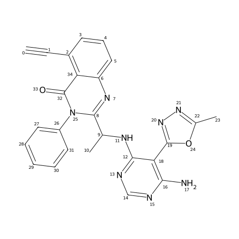 C#Cc1cccc2nc(C(C)Nc3ncnc(N)c3-c3nnc(C)o3)n(-c3ccccc3)c(=O)c12